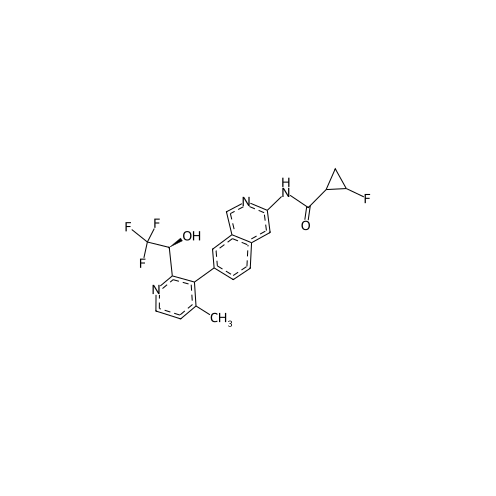 Cc1ccnc([C@H](O)C(F)(F)F)c1-c1ccc2cc(NC(=O)C3CC3F)ncc2c1